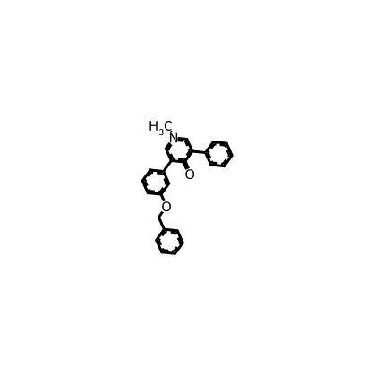 Cn1cc(-c2ccccc2)c(=O)c(-c2cccc(OCc3ccccc3)c2)c1